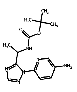 CC(NC(=O)OC(C)(C)C)c1ncnn1-c1ccc(N)cn1